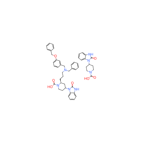 O=C(O)N1CCC(n2c(=O)[nH]c3ccccc32)CC1.O=C(O)N1CCC(n2c(=O)[nH]c3ccccc32)C[C@@H]1CCCN(Cc1ccccc1)Cc1cccc(OCc2ccccc2)c1